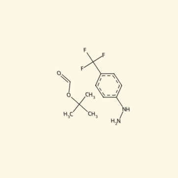 CC(C)(C)OC=O.NNc1ccc(C(F)(F)F)cc1